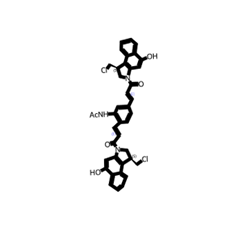 CC(=O)Nc1cc(/C=C/C(=O)N2C[C@@H](CCl)c3c2cc(O)c2ccccc32)ccc1/C=C/C(=O)N1C[C@@H](CCl)c2c1cc(O)c1ccccc21